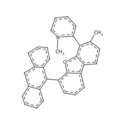 Cc1ccc2c(oc3c(-c4c5ccccc5cc5ccccc45)cccc32)c1-c1cccc[n+]1C